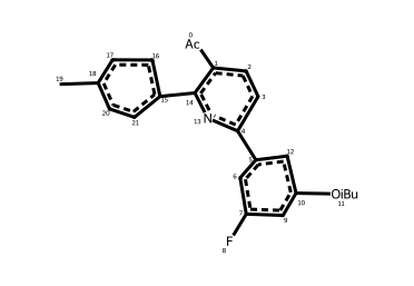 CC(=O)c1ccc(-c2cc(F)cc(OCC(C)C)c2)nc1-c1ccc(C)cc1